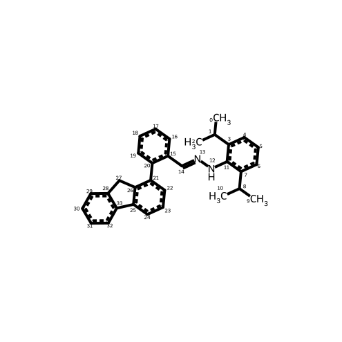 CC(C)c1cccc(C(C)C)c1NN=Cc1ccccc1-c1cccc2c1Cc1ccccc1-2